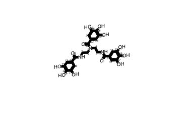 O=C(NCCN(CCNC(=O)c1cc(O)c(O)c(O)c1)C(=O)c1cc(O)c(O)c(O)c1)c1cc(O)c(O)c(O)c1